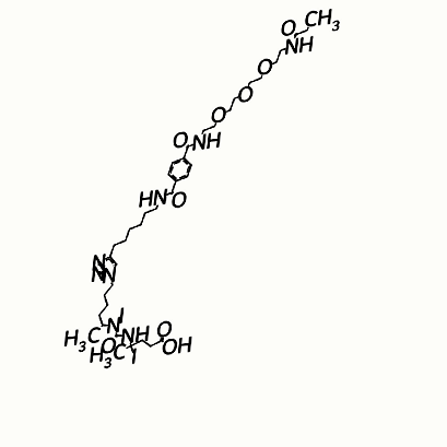 CCC(=O)NCCOCCOCCOCCNC(=O)c1ccc(C(=O)NCCCCCCc2cn(CCCCC(C)N(I)C(=O)NC(C)(I)CCC(=O)O)nn2)cc1